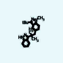 Cn1nc(C(C)(C)C)c2cc(CC(C)(C)c3n[nH]c4ccccc34)ccc21